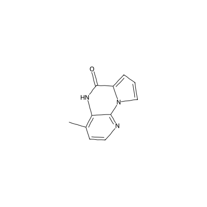 Cc1ccnc2c1[nH]c(=O)c1cccn12